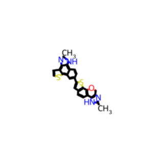 Cc1nc2c([nH]1)-c1ccc3cc(-c4ccc5c(c4)c4sccc4c4nc(C)[nH]c54)sc3c1OC2